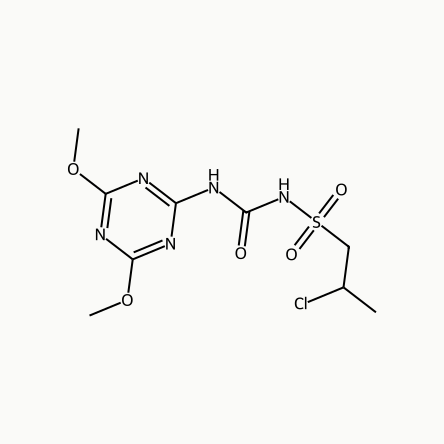 COc1nc(NC(=O)NS(=O)(=O)CC(C)Cl)nc(OC)n1